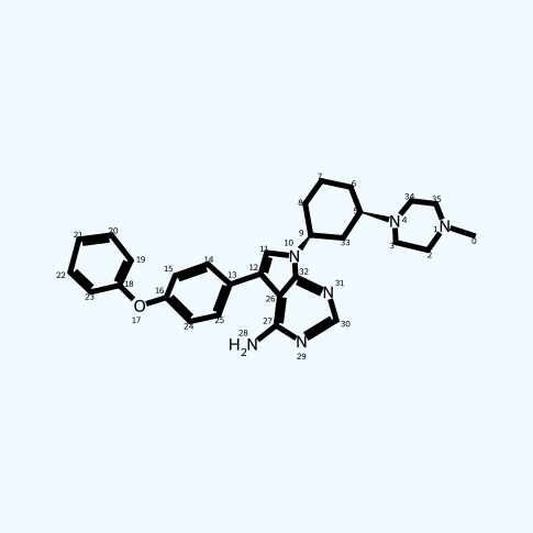 CN1CCN([C@@H]2CCC[C@H](n3cc(-c4ccc(Oc5ccccc5)cc4)c4c(N)ncnc43)C2)CC1